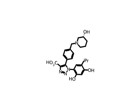 CC(C)c1cc(-n2nnc(C(=O)O)c2-c2ccc(CN3CCC[C@@H](O)C3)cc2)c(O)cc1O